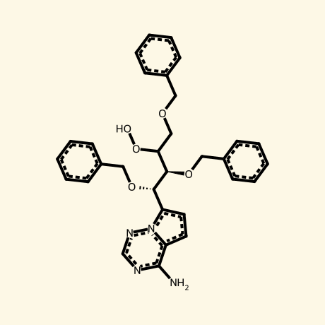 Nc1ncnn2c([C@H](OCc3ccccc3)[C@H](OCc3ccccc3)C(COCc3ccccc3)OO)ccc12